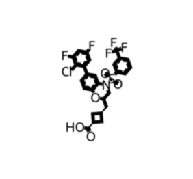 O=C(O)[C@H]1C[C@@H](CC2CN(S(=O)(=O)c3cccc(C(F)(F)F)c3)c3cc(-c4cc(F)cc(F)c4Cl)ccc3O2)C1